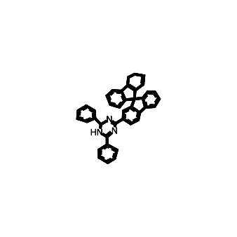 C1=CC2=C(CC1)c1ccccc1C21c2ccccc2-c2ccc(C3=NC(c4ccccc4)NC(c4ccccc4)=N3)cc21